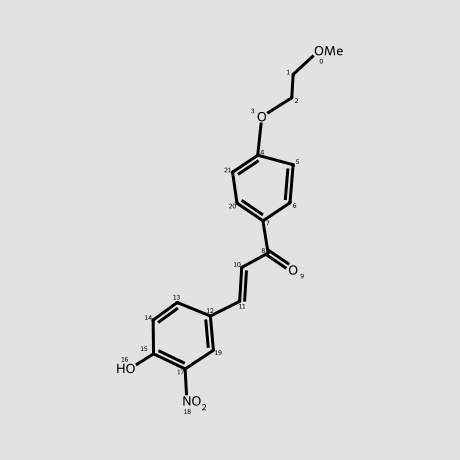 COCCOc1ccc(C(=O)C=Cc2ccc(O)c([N+](=O)[O-])c2)cc1